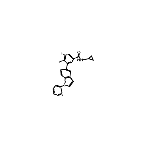 Cc1c(F)cc(C(=O)NC2CC2)cc1-c1ccc2c(ccn2-c2ccccn2)c1